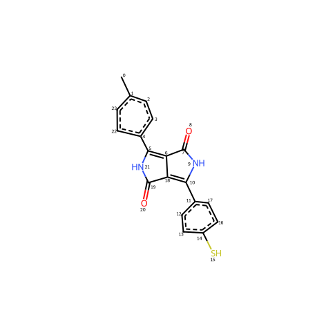 Cc1ccc(C2=C3C(=O)NC(c4ccc(S)cc4)=C3C(=O)N2)cc1